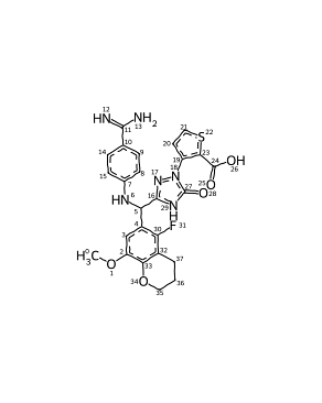 COc1cc(C(Nc2ccc(C(=N)N)cc2)c2nn(-c3ccsc3C(=O)O)c(=O)[nH]2)c(F)c2c1OCCC2